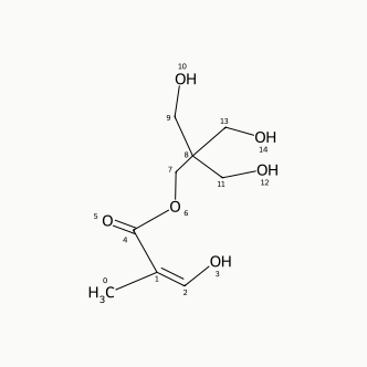 CC(=CO)C(=O)OCC(CO)(CO)CO